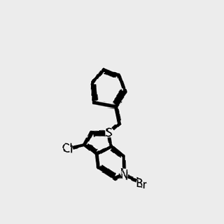 ClC1=C2C=CN(Br)C=C2S(Cc2ccccc2)=C1